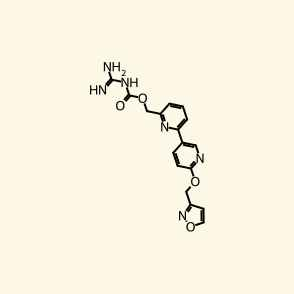 N=C(N)NC(=O)OCc1cccc(-c2ccc(OCc3ccon3)nc2)n1